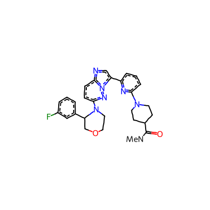 CNC(=O)C1CCN(c2cccc(-c3cnc4ccc(N5CCOCC5c5cccc(F)c5)nn34)n2)CC1